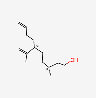 C=CCC[C@H](CC[C@@H](C)CCO)C(=C)C